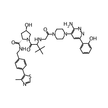 Cc1ncsc1-c1ccc(CNC(=O)[C@@H]2C[C@@H](O)CN2C(=O)C(NCC(=O)N2CCN(c3cc(-c4ccccc4O)nnc3N)CC2)C(C)(C)C)cc1